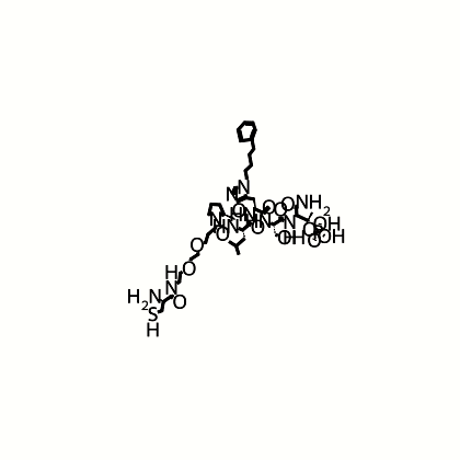 CC(C)C[C@H](NC(=O)[C@@H]1CCCN1C(=O)CCOCCOCCNC(=O)[C@@H](N)CS)C(=O)N[C@@H](Cc1cncn1CCCCCc1ccccc1)C(=O)N[C@@H](CO)C(=O)N[C@H](C(N)=O)[C@@H](C)OP(=O)(O)O